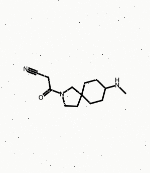 CNC1CCC2(CC1)CCN(C(=O)CC#N)C2